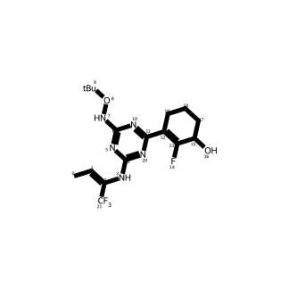 CC=C(Nc1nc(NOC(C)(C)C)nc(C2=C(F)C(O)CCC2)n1)C(F)(F)F